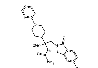 COc1ccc2c(c1)CN(CC(C=O)(NC(N)=O)C1CCN(c3ncccn3)CC1)C2=O